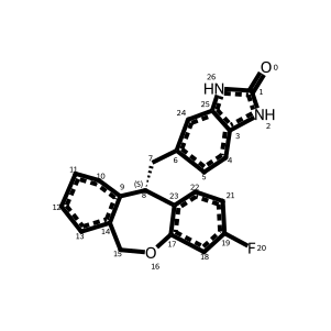 O=c1[nH]c2ccc(C[C@H]3c4ccccc4COc4cc(F)ccc43)cc2[nH]1